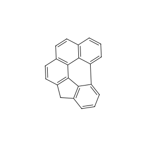 c1cc2c3c(c1)c1cccc4ccc5ccc(c3c5c41)C2